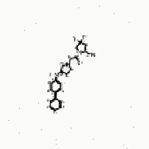 N#CC1CC(F)(F)CN1C(=O)CN1CCC(Nc2ccc(-c3ccccc3)cc2)C1